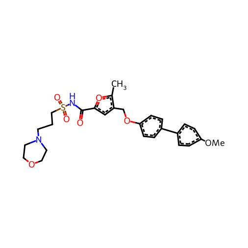 COc1ccc(-c2ccc(OCc3cc(C(=O)NS(=O)(=O)CCCN4CCOCC4)oc3C)cc2)cc1